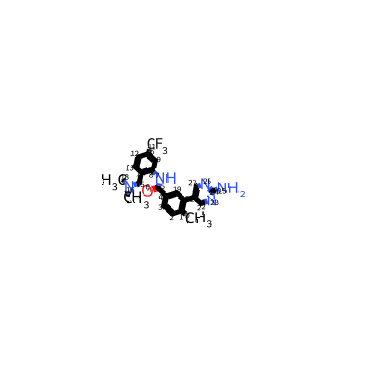 Cc1ccc(C(=O)Nc2cc(C(F)(F)F)ccc2CN(C)C)cc1-c1cnc(N)nc1